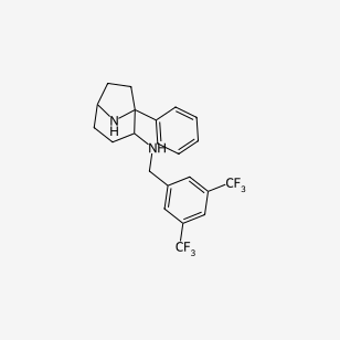 FC(F)(F)c1cc(CNC2CCC3CCC2(c2ccccc2)N3)cc(C(F)(F)F)c1